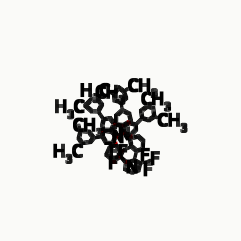 Cc1cc(C)cc(-c2ccc3c(c2)c2cc(-c4cc(C)cc(C)c4)ccc2n3-c2cccc(C#N)c2-c2c(-c3c(C(F)(F)F)cccc3C(F)(F)F)cccc2-n2c3ccc(-c4cc(C)cc(C)c4)cc3c3cc(-c4cc(C)cc(C)c4)ccc32)c1